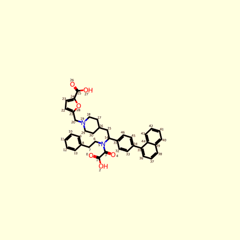 O=C(O)C(=O)N(CCc1ccccc1)C(CC1CCN(Cc2ccc(C(=O)O)o2)CC1)c1ccc(-c2cccc3ccccc23)cc1